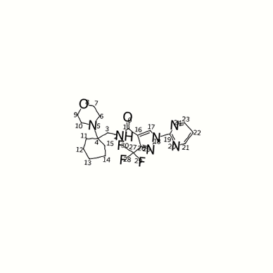 O=C(NCC1(N2CCOCC2)CCCCC1)c1cn(-c2ncccn2)nc1C(F)(F)F